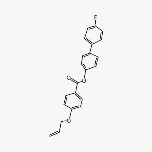 C=CCOc1ccc(C(=O)Oc2ccc(-c3ccc(F)cc3)cc2)cc1